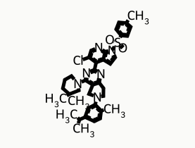 Cc1ccc(S(=O)(=O)n2ccc3c(-c4nc5c(c(N6CCCC(C)(C)C6)n4)CN(c4cc(C(C)C)ccc4C)CC5)c(Cl)cnc32)cc1